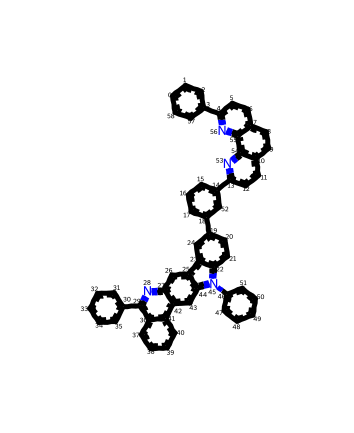 c1ccc(-c2ccc3ccc4ccc(-c5cccc(-c6ccc7c(c6)c6cc8nc(-c9ccccc9)c9ccccc9c8cc6n7-c6ccccc6)c5)nc4c3n2)cc1